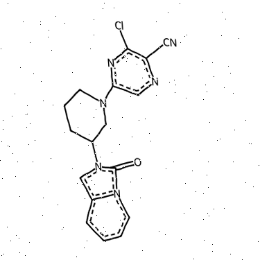 N#Cc1ncc(N2CCCC(n3cc4ccccn4c3=O)C2)nc1Cl